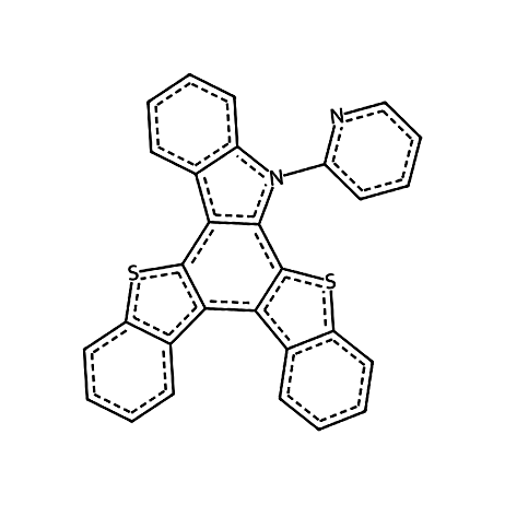 c1ccc(-n2c3ccccc3c3c4sc5ccccc5c4c4c5ccccc5sc4c32)nc1